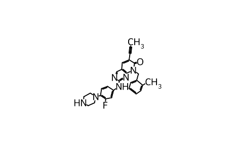 CC#Cc1cc2cnc(Nc3ccc(N4CCNCC4)c(F)c3)nc2n(Cc2ccccc2C)c1=O